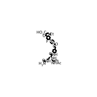 CCn1cc(C(=O)O)c(=O)c2cc(F)c(N3CCN(C(=O)OCc4ccc(NC(=O)[C@H](CCCNC(N)=O)NC[C@@H](NC(C)=O)C(C)C)cc4)CC3)cc21